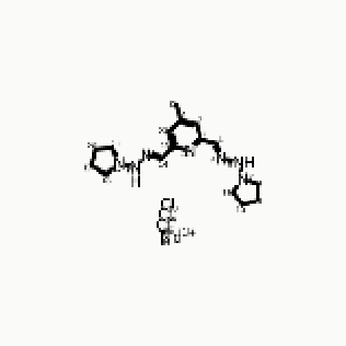 Cc1cc(C=NNN2CCCC2)nc(C=NNN2CCCC2)c1.[Cl-].[Cl-].[Cl-].[Nd+3]